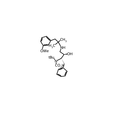 COc1cccc(CC(C)(C)NC[C@@H](O)[C@H](Cc2ccccc2)N(C(=O)O)C(C)(C)C)c1